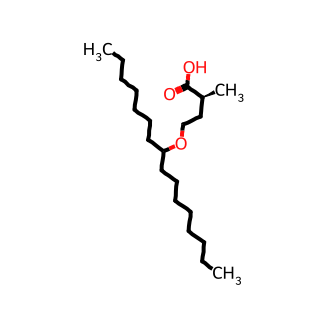 CCCCCCCCC(CCCCCCC)OCC[C@H](C)C(=O)O